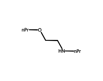 CCCNCCOCCC